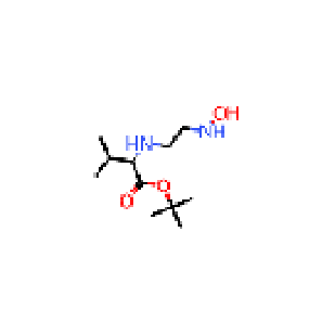 CC(C)[C@H](NCCNO)C(=O)OC(C)(C)C